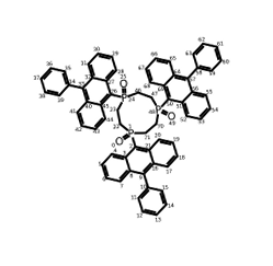 O=P1(c2c3ccccc3c(-c3ccccc3)c3ccccc23)CCP(=O)(c2c3ccccc3c(-c3ccccc3)c3ccccc23)CCP(=O)(c2c3ccccc3c(-c3ccccc3)c3ccccc23)CC1